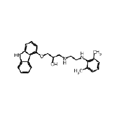 Cc1cccc(C)c1NCCNCC(O)COc1cccc2[nH]c3ccccc3c12